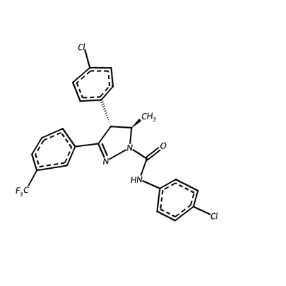 C[C@@H]1[C@@H](c2ccc(Cl)cc2)C(c2cccc(C(F)(F)F)c2)=NN1C(=O)Nc1ccc(Cl)cc1